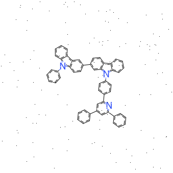 c1ccc(-c2cc(-c3ccccc3)nc(-c3ccc(-n4c5ccccc5c5ccc(-c6ccc7c(c6)c6ccccc6n7-c6ccccc6)cc54)cc3)c2)cc1